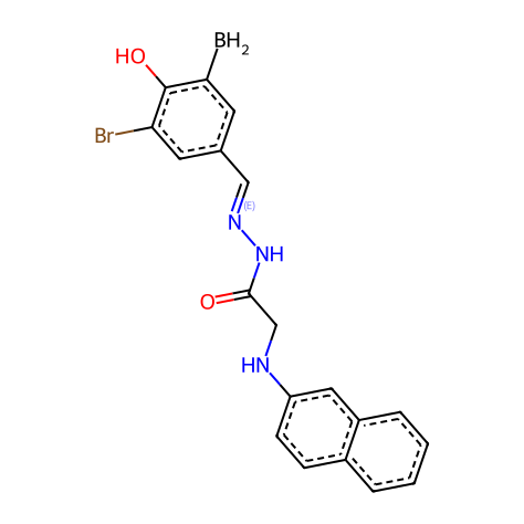 Bc1cc(/C=N/NC(=O)CNc2ccc3ccccc3c2)cc(Br)c1O